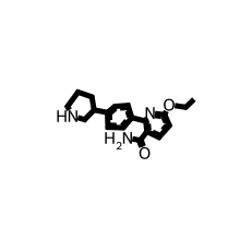 CCOc1ccc(C(N)=O)c(-c2ccc(C3CCCNC3)cc2)n1